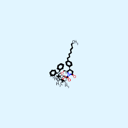 CCCCCCCCc1ccc([C@H]2CC(=O)N(C(=O)OC(C)(C)C)[C@H]2CO[Si](c2ccccc2)(c2ccccc2)C(C)(C)C)cc1